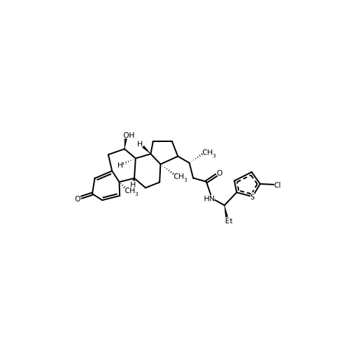 CC[C@@H](NC(=O)C[C@@H](C)C1CC[C@H]2[C@@H]3[C@H](O)CC4=CC(=O)C=C[C@]4(C)[C@H]3CC[C@]12C)c1ccc(Cl)s1